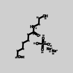 CCCCCCCCCCCCCCCC(=O)NCCO.O=S(=O)([O-])[O-].[Na+].[Na+]